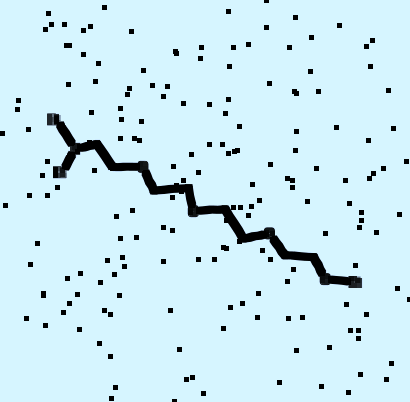 CCOCCOCCOCCOCCN(CC)CC